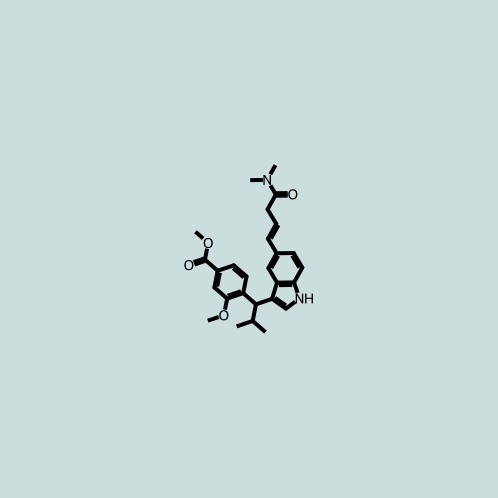 COC(=O)c1ccc(C(c2c[nH]c3ccc(/C=C/CC(=O)N(C)C)cc23)C(C)C)c(OC)c1